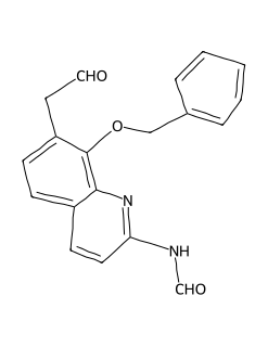 O=CCc1ccc2ccc(NC=O)nc2c1OCc1ccccc1